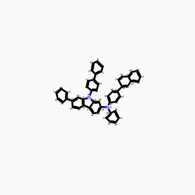 c1ccc(-c2ccc(-n3c4cc(-c5ccccc5)ccc4c4ccc(N(c5ccccc5)c5ccc(-c6ccc7ccccc7c6)cc5)cc43)cc2)cc1